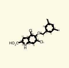 Cc1cc(C)cc(COc2c(Cl)cc3[nH]c(C(=O)O)cc3c2Cl)c1